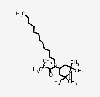 CCCCCCCCCCCCN(C(=O)N(C)C)C1CC(C)(C)NC(C)(C)C1